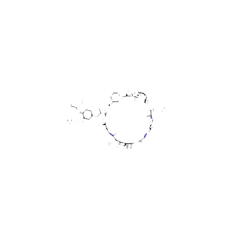 CO[C@H]1C[C@@H]2CC[C@@H](C)[C@@](O)(O2)C(=O)C(=O)N2CCCC(C2)C(=O)O[C@H](C(C)C[C@@H]2CC[C@@H](OCCC(=O)O)[C@H](OC)C2)CC(=O)[C@H](C)/C=C(\C)[C@@H](O)[C@@H](OC)C(=O)[C@H](C)C[C@H](C)/C=C/C=C/C=C/1C